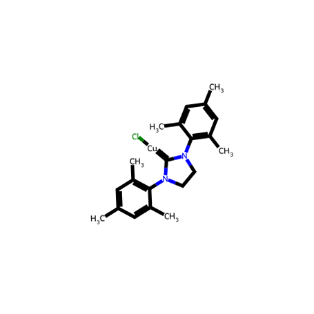 Cc1cc(C)c(N2CCN(c3c(C)cc(C)cc3C)[C]2=[Cu][Cl])c(C)c1